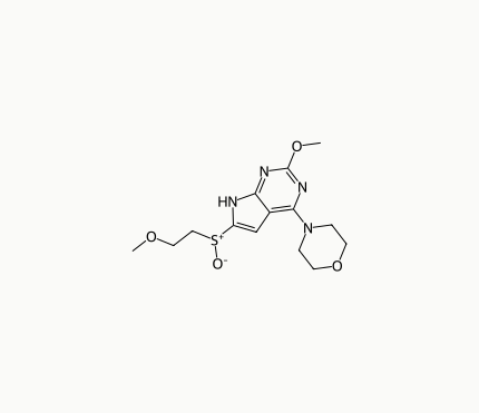 COCC[S+]([O-])c1cc2c(N3CCOCC3)nc(OC)nc2[nH]1